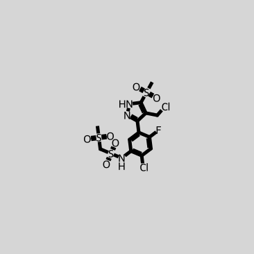 CS(=O)(=O)CS(=O)(=O)Nc1cc(-c2n[nH]c(S(C)(=O)=O)c2CCl)c(F)cc1Cl